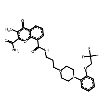 Cc1c(C(N)=O)oc2c(C(=O)NCCCN3CCN(c4ccccc4OCC(F)(F)F)CC3)cccc2c1=O